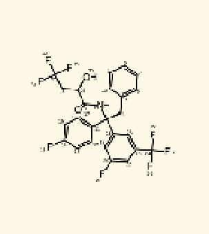 O=C(N[C@@](Cc1ccccc1)(c1ccc(F)cc1)c1cc(F)cc(C(F)(F)F)c1)[C@H](O)CC(F)(F)F